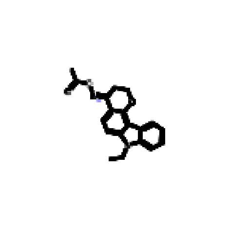 CCn1c2ccccc2c2c3c(ccc21)/C(=N/OC(C)=O)CCO3